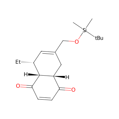 CC[C@@H]1C=C(CO[Si](C)(C)C(C)(C)C)C[C@@H]2C(=O)C=CC(=O)[C@@H]21